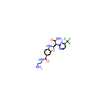 NCCNC(=O)c1ccc2c(c1)S/C(=C(/C(N)=O)c1nccc(C(F)(F)F)n1)N2